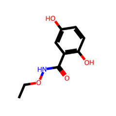 CCONC(=O)c1cc(O)ccc1O